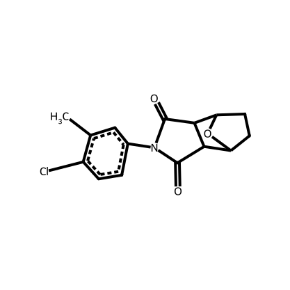 Cc1cc(N2C(=O)C3C4CCC(O4)C3C2=O)ccc1Cl